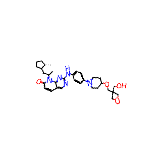 CC(CC1CCC[C@@H]1C)n1c(=O)ccc2cnc(Nc3ccc(N4CCC(OCC5(CO)COC5)CC4)cc3)nc21